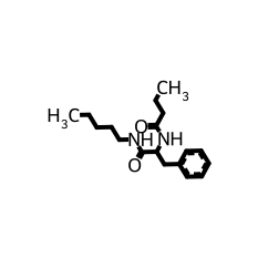 CCCCCNC(=O)C(Cc1ccccc1)NC(=O)CCC